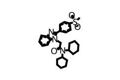 CS(=O)(=O)c1ccc(-c2nc3ccccc3n2CC(=O)N(C2CCCCC2)C2CCCCC2)cc1